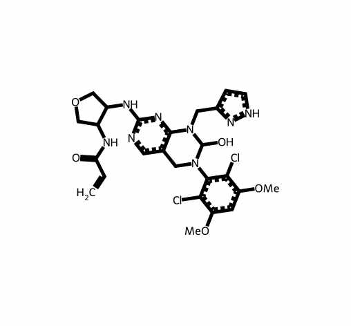 C=CC(=O)NC1COCC1Nc1ncc2c(n1)N(Cc1cc[nH]n1)C(O)N(c1c(Cl)c(OC)cc(OC)c1Cl)C2